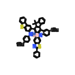 CC(C)(C)c1ccc(Nc2cc3sc4ccccc4c3cc2-c2c3c(c4c5cc(C(C)(C)C)ccc5n5c4c2Bc2cc4nc(-c6ccccc6)sc4cc2-5)-c2ccccc2C3(C)C)cc1